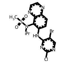 CC(C)N(c1c(Nc2nc(Cl)ncc2Br)ccc2nccnc12)S(C)(=O)=O